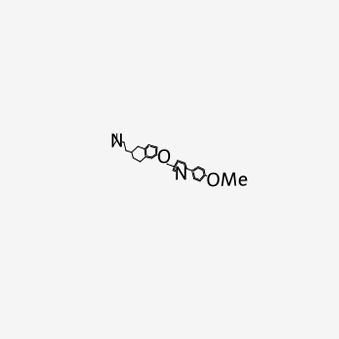 COc1ccc(-c2ccc(COc3ccc4c(c3)CCC(CCN(C)C)C4)cn2)cc1